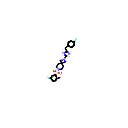 Cc1ccc(F)cc1S(=O)(=O)N1CCC2(CC1)CN(c1nc(Cc3ccc(F)cc3)ns1)C2